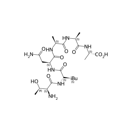 CC[C@H](C)[C@H](NC(=O)[C@@H](N)[C@@H](C)O)C(=O)N[C@@H](CC(N)=O)C(=O)N[C@@H](C)C(=O)N[C@@H](C)C(=O)N[C@@H](C)C(=O)O